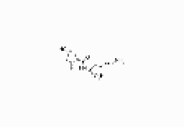 NCCCC[C@H](NC(=O)[C@@H]1C[C@@H](O)CN1)C(=O)O